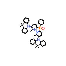 Cc1nc(P(=O)(c2ccccc2)c2ccc(N3c4ccccc4C(C)(C)c4ccccc43)c(C)n2)ccc1N1c2ccccc2C(C)(C)c2ccccc21